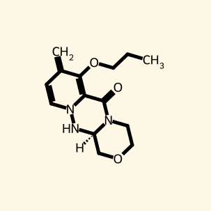 C=C1C=CN2N[C@@H]3COCCN3C(=O)C2=C1OCCC